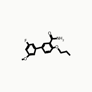 CCCOc1ccc(-c2cc(F)cc(OC)c2)cc1C(N)=O